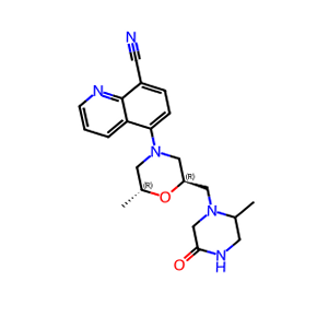 CC1CNC(=O)CN1C[C@@H]1CN(c2ccc(C#N)c3ncccc23)C[C@@H](C)O1